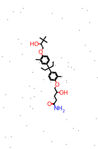 CCC(CC)(c1ccc(OCC(O)CCC(N)=O)c(C)c1)c1ccc(OCC(O)C(C)(C)C)c(C)c1